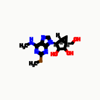 CNc1nc(SC)nc2c1ncn2[C@H]1C(O)C(O)[C@]2(CO)C[C@H]12